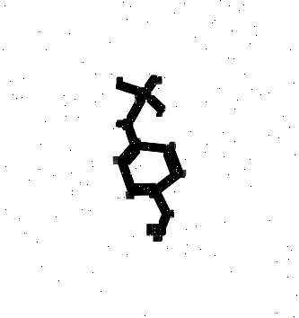 C[Si](C)(C)Oc1ccc(CO)cc1